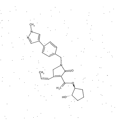 C=C(O[C@H]1CCC[C@@H]1O)C1=C(/C=C\C)CN(Cc2ccc(-c3cnn(C)c3)cc2)C1=O